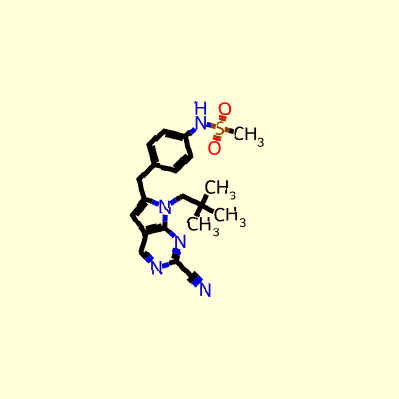 CC(C)(C)Cn1c(Cc2ccc(NS(C)(=O)=O)cc2)cc2cnc(C#N)nc21